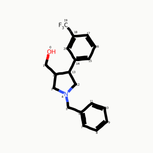 OCC1CN(Cc2ccccc2)CC1c1cccc(C(F)(F)F)c1